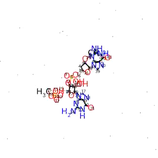 CCO[C@@H]1C[C@@H](COP(=O)(O)O[C@H]2[C@@H](O)[C@H](n3cnc4c(=O)[nH]c(N)nc43)O[C@@H]2COP(=O)(O)OC)O[C@H]1n1cnc2c(=O)[nH]c(N)nc21